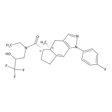 CCN(CC(O)C(F)(F)F)C(=O)[C@H]1CCC2=Cc3c(cnn3-c3ccc(F)cc3)C[C@@]21C